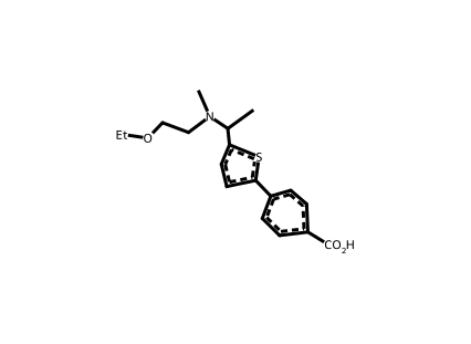 CCOCCN(C)C(C)c1ccc(-c2ccc(C(=O)O)cc2)s1